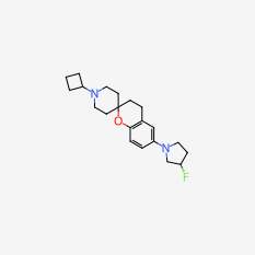 F[C@@H]1CCN(c2ccc3c(c2)CCC2(CCN(C4CCC4)CC2)O3)C1